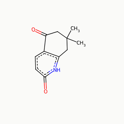 CC1(C)CC(=O)c2ccc(=O)[nH]c2C1